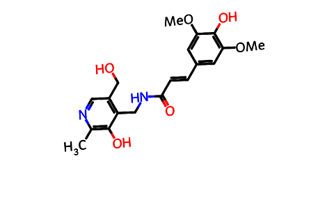 COc1cc(C=CC(=O)NCc2c(CO)cnc(C)c2O)cc(OC)c1O